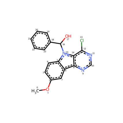 COc1ccc2c(c1)c1ncnc(Cl)c1n2C(O)c1ccccc1